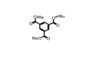 CCCCOC(=O)c1cc(C(=O)OC)cc(C(=O)OC)c1